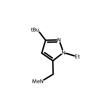 CCn1nc(C(C)(C)C)cc1CNC